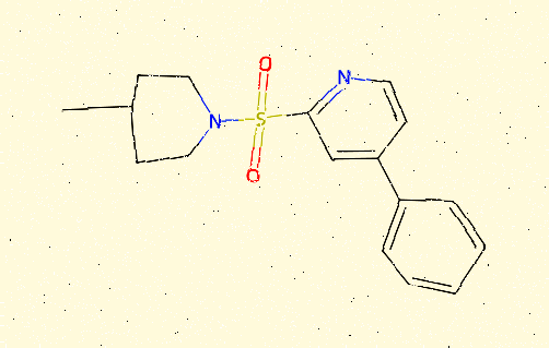 CC1CCN(S(=O)(=O)c2cc(-c3ccccc3)ccn2)CC1